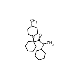 CN1CCN(C2(C(=O)N(C)C3CCCCC3)CCCCC2)CC1